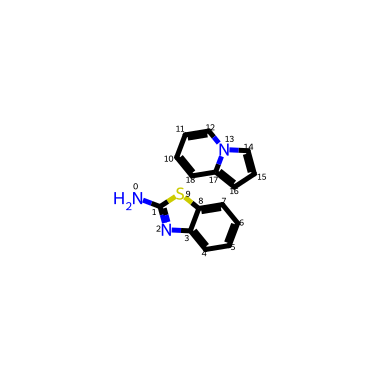 Nc1nc2ccccc2s1.c1ccn2cccc2c1